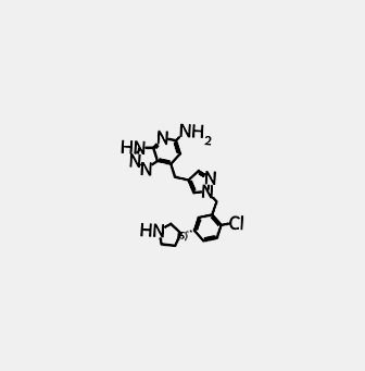 Nc1cc(Cc2cnn(Cc3cc([C@@H]4CCNC4)ccc3Cl)c2)c2nn[nH]c2n1